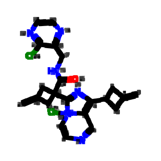 C=C1CC(C2=C3C=NC=C[N+]3(Cl)C(C3(C(=O)NCc4nccnc4Cl)CC(=C)C3)=N2)C1